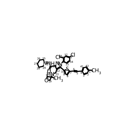 Cc1ccc(C#Cc2ccc(-c3c(CNC4(C)COC4)c(C(=O)NN4CCCCC4)nn3-c3ccc(Cl)cc3Cl)s2)cc1